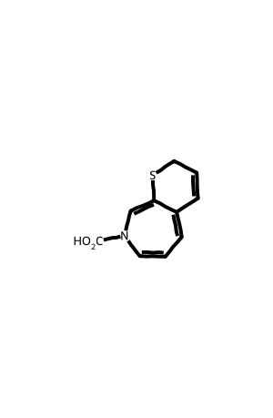 O=C(O)N1C=CC=C2C=CCSC2=C1